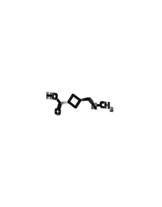 CN=C[C@H]1C[C@H](C(=O)O)C1